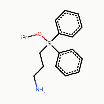 CC(C)O[Si](CCCN)(c1ccccc1)c1ccccc1